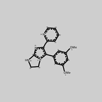 COc1cc(OC)cc(-c2c(-c3ccccn3)nc3n2CCN3)c1